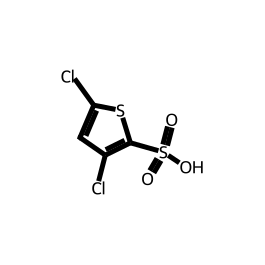 O=S(=O)(O)c1sc(Cl)cc1Cl